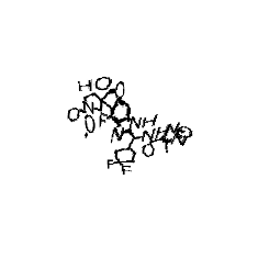 COC(=O)N1CCC(C(=O)O)(c2ccc3[nH]c(C(NC(=O)c4nonc4C)C4CCC(F)(F)CC4)nc3c2F)C1